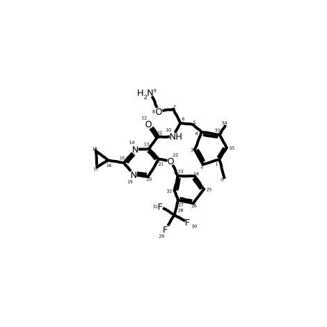 Cc1ccc(CC(CON)NC(=O)c2nc(C3CC3)ncc2Oc2cccc(C(F)(F)F)c2)c(C)c1